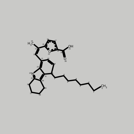 CCCCCCCCC1C=CC(C=C(C)c2ccc(C(=O)O)o2)=C2N=C3CCCCC3=C21